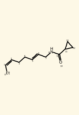 CC/C=C\CC/C=C/CNC(=O)C1CC1